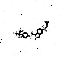 CN1Cc2cc(S(=O)(=O)CC3CC3)ccc2C1C(=O)Nc1ccc(C(O)(C(F)(F)F)C(F)(F)F)cc1